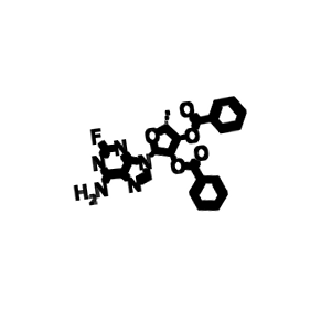 C[C@H]1O[C@@H](n2cnc3c(N)nc(F)nc32)[C@H](OC(=O)c2ccccc2)[C@@H]1OC(=O)c1ccccc1